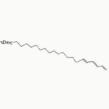 [C]=CC=CC=CCCCCCCCCCCCCCCCCCCCCCCCC